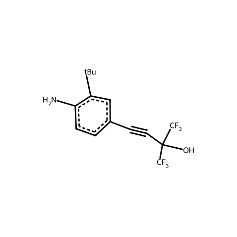 CC(C)(C)c1cc(C#CC(O)(C(F)(F)F)C(F)(F)F)ccc1N